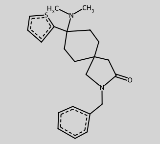 CN(C)C1(c2cccs2)CCC2(CC1)CC(=O)N(Cc1ccccc1)C2